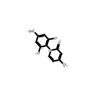 O=Cc1cc(Cl)c(-n2ccc(C(F)(F)F)cc2=O)c(Cl)c1